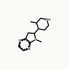 CC1CNCCC1C1Cc2nccnc2N1C